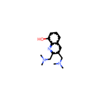 CN(C)Cc1cc2cccc(O)c2nc1CN(C)C